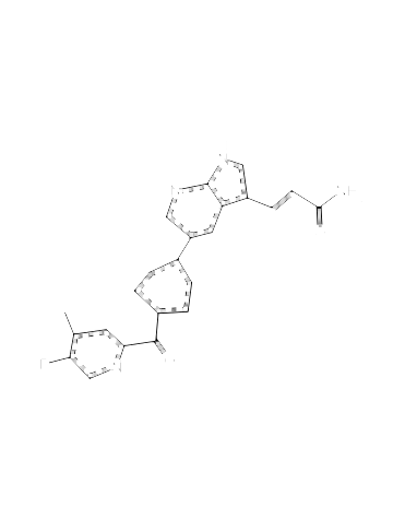 NC(=O)C=Cc1c[nH]c2ncc(-c3ccc(C(=O)c4cc(F)c(F)cn4)cc3)cc12